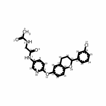 CC(=O)NCC(=O)Nc1ccc(Oc2ccc3c(c2)CCC(c2cccc(Cl)c2)O3)nc1